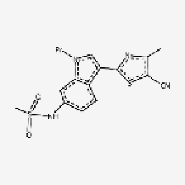 Cc1nc(-c2cn(C(C)C)c3cc(NS(C)(=O)=O)ccc23)sc1C#N